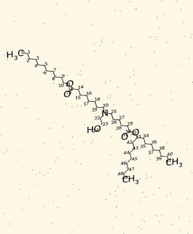 CCCCCCCCCCCOC(=O)CCCCCCCN(CCO)CCCCCC(=O)OC(CCCCCCCC)CCCCCCCC